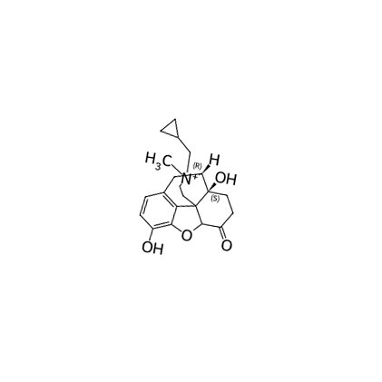 C[N+]1(CC2CC2)CCC23c4c5ccc(O)c4OC2C(=O)CC[C@@]3(O)[C@H]1C5